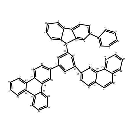 c1ccc(-c2ccc3c4ccccc4n(-c4cc(-c5ccc6c7ccccc7c7ccccc7c6c5)cc(-c5ccc6ccc7cccnc7c6n5)c4)c3c2)cc1